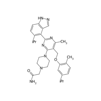 Cc1ccc(C(C)C)cc1OCc1c(C)nc(-c2c(C(C)C)ccc3[nH]ncc23)nc1N1CCN(CC(N)=O)CC1